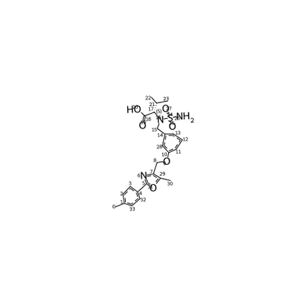 Cc1ccc(-c2nc(COc3cccc(CN([C@H](C(=O)O)C(C)C)S(N)(=O)=O)c3)c(C)o2)cc1